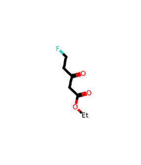 CCOC(=O)CC(=O)CCF